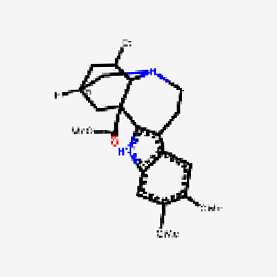 CCC1C[C@@H]2CN3CCc4c([nH]c5cc(OC)c(OC)cc45)C(C(=O)OC)(C2)C13